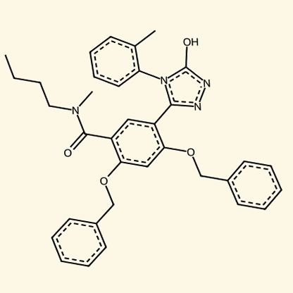 CCCCN(C)C(=O)c1cc(-c2nnc(O)n2-c2ccccc2C)c(OCc2ccccc2)cc1OCc1ccccc1